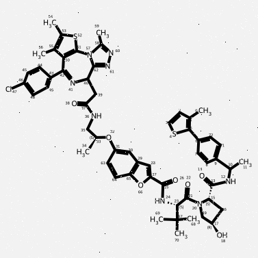 Cc1ccsc1-c1ccc(C(C)NC(=O)[C@@H]2C[C@@H](O)CN2C(=O)[C@@H](NC(=O)c2cc3cc(O[C@@H](C)CNC(=O)CC4N=C(c5ccc(Cl)cc5)c5c(sc(C)c5C)-n5c(C)nnc54)ccc3o2)C(C)(C)C)cc1